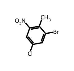 Cc1c(Br)cc(Cl)cc1[N+](=O)[O-]